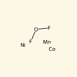 FOF.[Co].[Mn].[Ni]